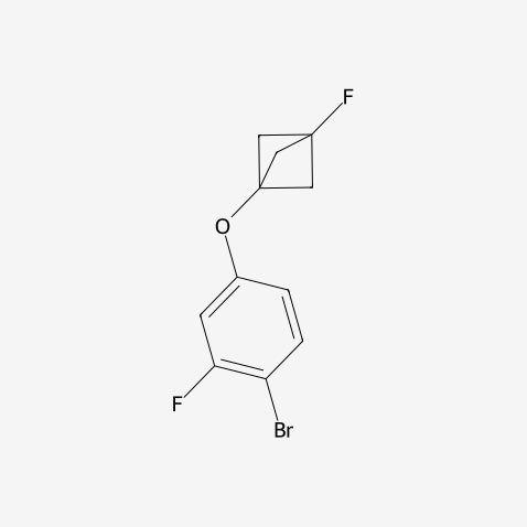 Fc1cc(OC23CC(F)(C2)C3)ccc1Br